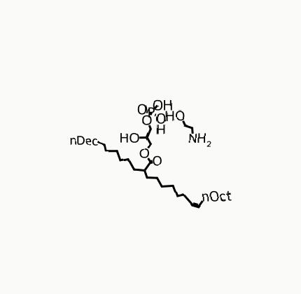 CCCCCCCC/C=C\CCCCCCC(CCCCCCCCCCCCCCCC)C(=O)OCC(O)COP(=O)(O)O.NCCO